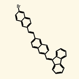 Brc1ccc2cc(/C=C/c3ccc4cc(C=C5c6ccccc6-c6ccccc65)ccc4c3)ccc2c1